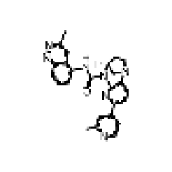 Cc1cc(-c2ccc3c(n2)N(C(=O)Nc2cccc4nnc(C)cc24)[C@H]2CCN3C2)ccn1